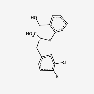 O=C(O)N(Cc1ccc(Br)c(Cl)c1)Sc1ccccc1CO